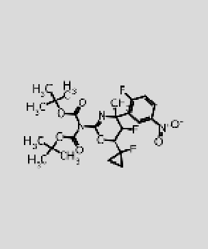 CC(C)(C)OC(=O)N(C(=O)OC(C)(C)C)C1=N[C@](C)(c2cc([N+](=O)[O-])ccc2F)[C@@H](F)[C@@H](C2(F)CC2)O1